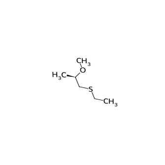 CCSC[C@@H](C)OC